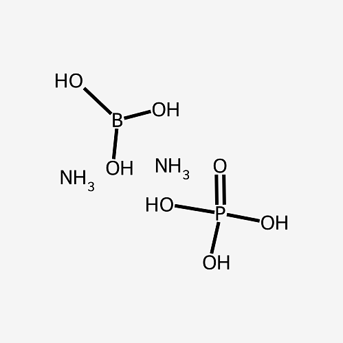 N.N.O=P(O)(O)O.OB(O)O